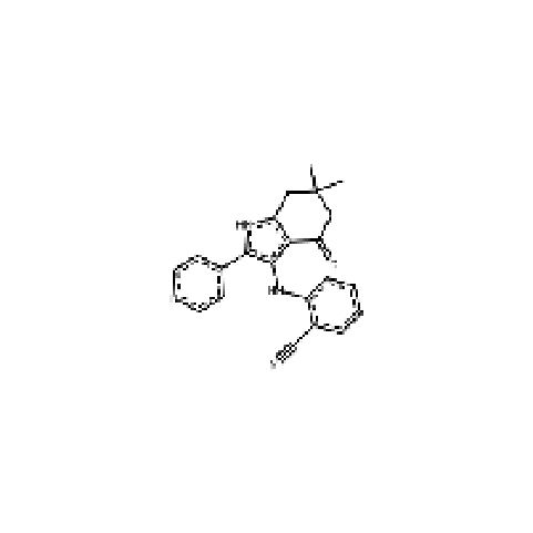 CC1(C)CC(=O)c2c([nH]c(-c3ccncc3)c2Nc2ccccc2C#N)C1